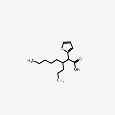 CCCCCC(CCC)C(C(=O)O)c1ccco1